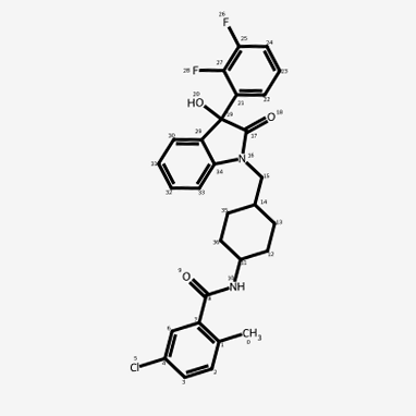 Cc1ccc(Cl)cc1C(=O)NC1CCC(CN2C(=O)C(O)(c3cccc(F)c3F)c3ccccc32)CC1